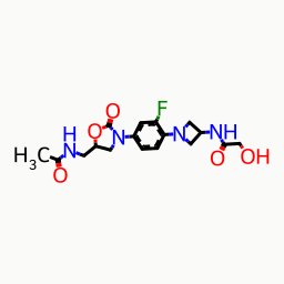 CC(=O)NCC1CN(c2ccc(N3CC(NC(=O)CO)C3)c(F)c2)C(=O)O1